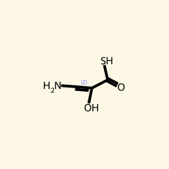 N/C=C(\O)C(=O)S